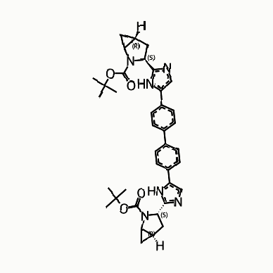 CC(C)(C)OC(=O)N1C2C[C@@H]2C[C@H]1c1ncc(-c2ccc(-c3ccc(-c4cnc([C@@H]5C[C@H]6CC6N5C(=O)OC(C)(C)C)[nH]4)cc3)cc2)[nH]1